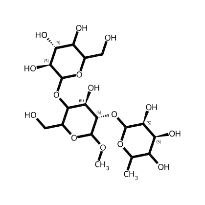 COC1OC(CO)C(OC2OC(CO)C(O)[C@@H](O)[C@@H]2O)[C@@H](O)[C@@H]1OC1OC(C)C(O)[C@H](O)[C@@H]1O